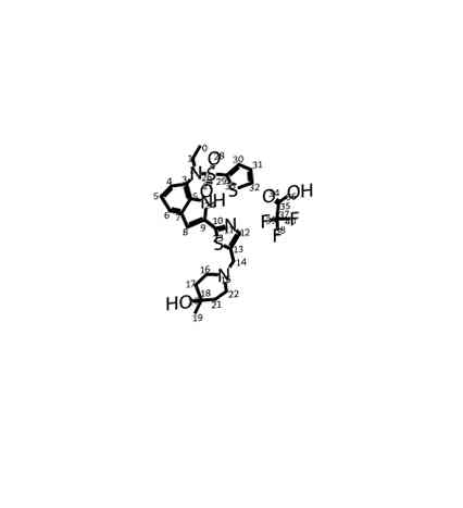 CCN(c1cccc2cc(-c3ncc(CN4CCC(C)(O)CC4)s3)[nH]c12)S(=O)(=O)c1cccs1.O=C(O)C(F)(F)F